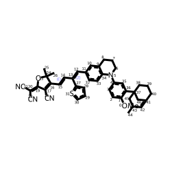 COc1ccc(N2CCCc3cc(/C=C(/C=C/C4=C(C#N)C(=C(C#N)C#N)OC4(C)C)c4cccs4)ccc32)cc1C12CCCC(=CC(C)C1)C2